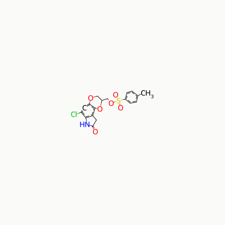 Cc1ccc(S(=O)(=O)OCC2COc3cc(Cl)c4c(c3O2)CC(=O)N4)cc1